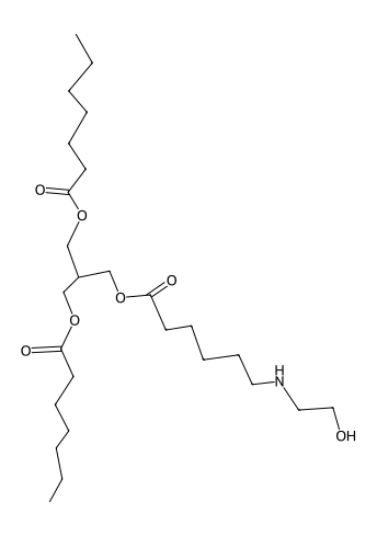 CCCCCCC(=O)OCC(COC(=O)CCCCCC)COC(=O)CCCCCNCCO